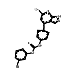 CCc1cccc(NC(=O)Nc2ccc(-c3cc(C(C)(C)C)nc4[nH]ncc34)cc2)c1